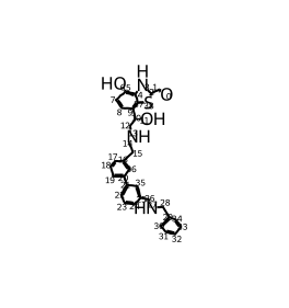 O=CC1Nc2c(O)ccc([C@@H](O)CNCCc3cccc(-c4cccc(CNCc5ccccc5)c4)c3)c2S1